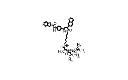 CC(C)C(NC(=O)OC(C)(C)C)C(=O)N[C@@H](C)C(=O)NCCCCCCN1N=C(c2ccc(NC(=O)N3Cc4ccncc4C3)cc2)CC(c2ccc3cccnc3c2)C1=O